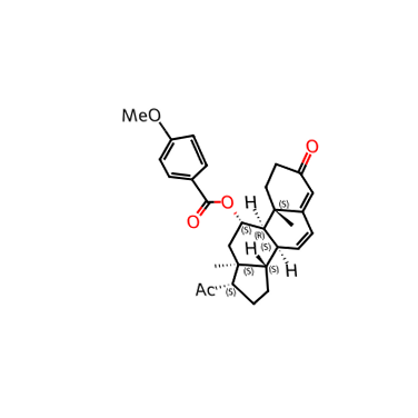 COc1ccc(C(=O)O[C@H]2C[C@]3(C)[C@@H](C(C)=O)CC[C@H]3[C@@H]3C=CC4=CC(=O)CC[C@@]4(C)[C@@H]32)cc1